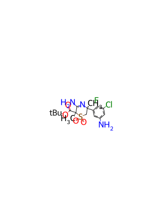 CC(C)(C)OC(=O)C1(C)C(N)=N[C@](C)(c2cc(N)cc(Cl)c2F)CS1(=O)=O